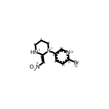 O=[N+]([O-])C=C1NCCCN1c1ccc(Br)nc1